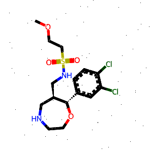 COCCS(=O)(=O)NC[C@@H]1CNCCO[C@H]1c1ccc(Cl)c(Cl)c1